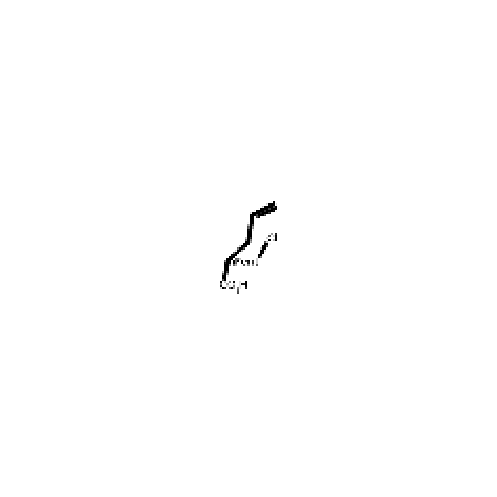 C=CCCC(=O)O.CCCCCCl